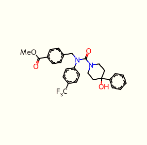 COC(=O)c1ccc(CN(C(=O)N2CCC(O)(c3ccccc3)CC2)c2ccc(C(F)(F)F)cc2)cc1